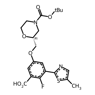 Cc1cnc(-c2cc(OC[C@H]3CN(C(=O)OC(C)(C)C)CCO3)cc(C(=O)O)c2F)s1